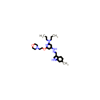 CCCN(CCC)c1cc(N/N=C/c2c[nH]c3cc(C)ccc23)cc(OCCN2CCOCC2)n1